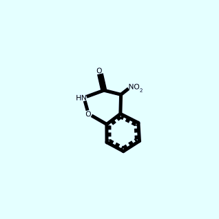 O=C1NOc2ccccc2C1[N+](=O)[O-]